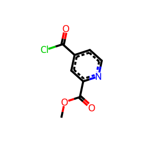 COC(=O)c1cc(C(=O)Cl)ccn1